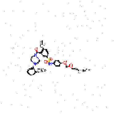 COCCOCOc1ccc(NS(=O)(=O)c2ccc(C)c(C(=O)N3CCN(c4ccccc4OC)CC3)c2)cc1